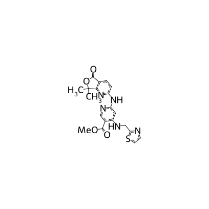 COC(=O)c1cnc(Nc2ccc3c(n2)C(C)(C)OC3=O)cc1NCc1nccs1